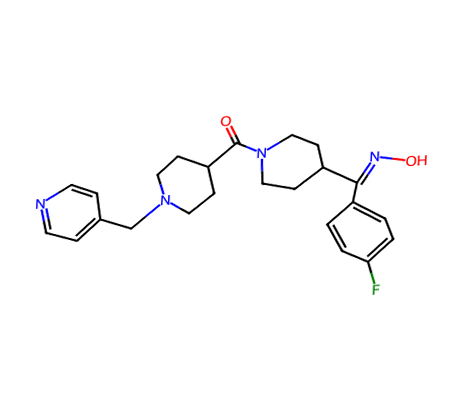 O=C(C1CCN(Cc2ccncc2)CC1)N1CCC(/C(=N/O)c2ccc(F)cc2)CC1